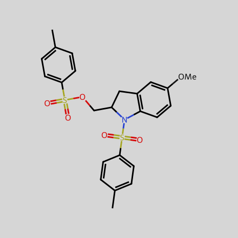 COc1ccc2c(c1)CC(COS(=O)(=O)c1ccc(C)cc1)N2S(=O)(=O)c1ccc(C)cc1